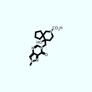 Cn1cc2ncn(CC3(O)CCN(C(=O)O)CC34CCCC4)c(=O)c2n1